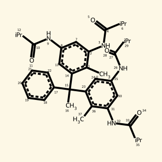 Cc1c(NC(=O)C(C)C)cc(NC(=O)C(C)C)cc1C(C)(c1ccccc1)c1cc(NC(=O)C(C)C)cc(NC(=O)C(C)C)c1C